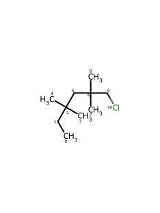 CCC(C)(C)CC(C)(C)CCl